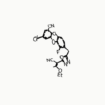 CCO/C(C)=C(/C#N)c1nnc(Cc2ccc(Cl)c(Oc3cc(Cl)cc(C#N)c3)c2F)o1